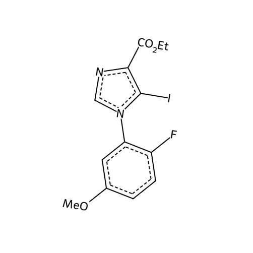 CCOC(=O)c1ncn(-c2cc(OC)ccc2F)c1I